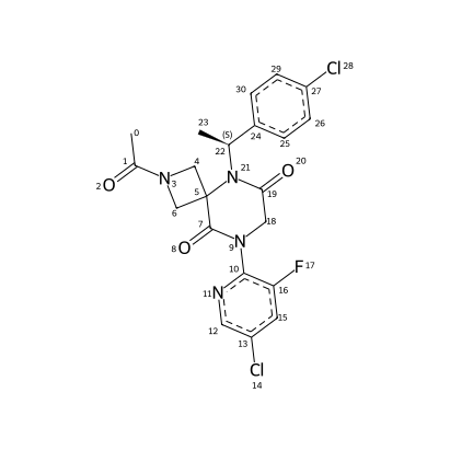 CC(=O)N1CC2(C1)C(=O)N(c1ncc(Cl)cc1F)CC(=O)N2[C@@H](C)c1ccc(Cl)cc1